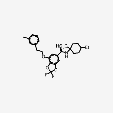 CCC1CCC(NC(=O)c2cc(OCCc3cccc(C)c3)c3c(c2)OC(F)(F)O3)(C(=O)O)CC1